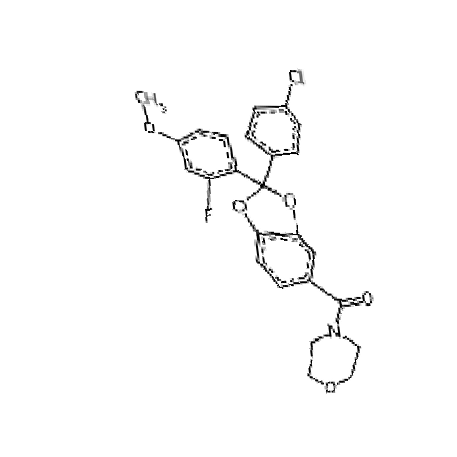 COc1ccc(C2(c3ccc(Cl)cc3)Oc3ccc(C(=O)N4CCOCC4)cc3O2)c(F)c1